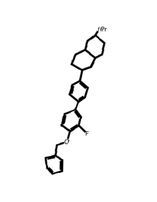 CCCC1CCC2CC(c3ccc(-c4ccc(OCc5ccccc5)c(F)c4)cc3)CCC2C1